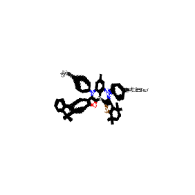 Cc1cc2c3c(c1)N(c1ccc(C(C)(C)C)cc1)c1c(oc4cc5c(cc14)-c1ccccc1C5(C)C)B3c1sc3c(c1N2c1ccc(C(C)(C)C)cc1)C(C)(C)CCC3(C)C